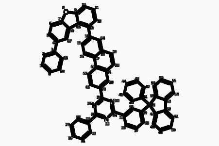 c1ccc(-c2ccc3oc4cccc(-c5ccc6c(ccc7cc(-c8nc(-c9ccccc9)nc(-c9cccc(C%10(c%11ccccc%11)c%11ccccc%11-c%11ccccc%11%10)c9)n8)ccc76)c5)c4c3c2)cc1